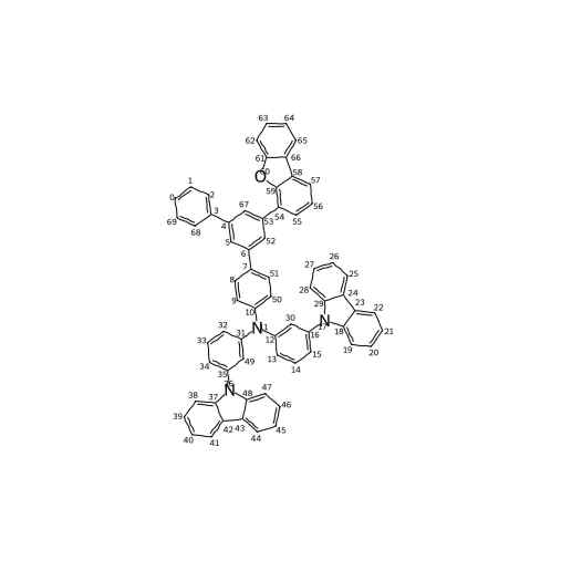 c1ccc(-c2cc(-c3ccc(N(c4cccc(-n5c6ccccc6c6ccccc65)c4)c4cccc(-n5c6ccccc6c6ccccc65)c4)cc3)cc(-c3cccc4c3oc3ccccc34)c2)cc1